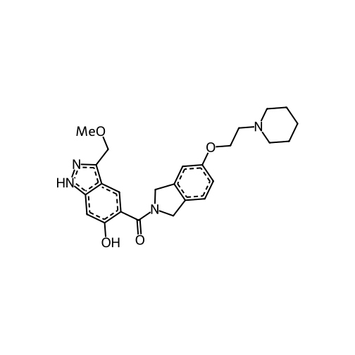 COCc1n[nH]c2cc(O)c(C(=O)N3Cc4ccc(OCCN5CCCCC5)cc4C3)cc12